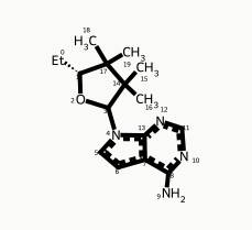 CC[C@H]1OC(n2ccc3c(N)ncnc32)C(C)(C)C1(C)C